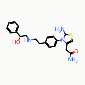 NC(=O)CC1=CSC(N)N1c1ccc(CCNC[C@@H](O)c2ccccc2)cc1